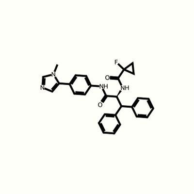 Cn1cncc1-c1ccc(NC(=O)[C@@H](NC(=O)C2(F)CC2)C(c2ccccc2)c2ccccc2)cc1